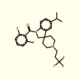 CC(C)c1ccc2c(c1)C1(CCN(CCC(F)(F)F)CC1)CN2C(=O)c1c(F)cccc1F